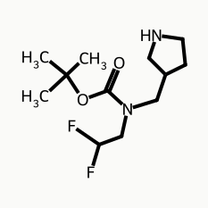 CC(C)(C)OC(=O)N(CC(F)F)CC1CCNC1